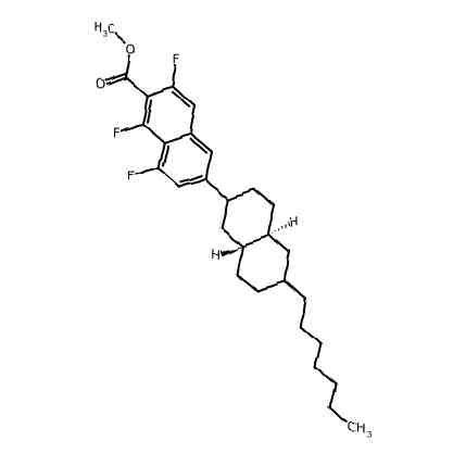 CCCCCCCC1CC[C@@H]2CC(c3cc(F)c4c(F)c(C(=O)OC)c(F)cc4c3)CC[C@H]2C1